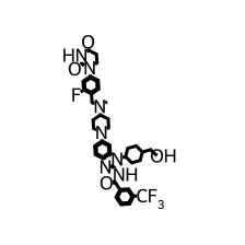 CN(Cc1ccc(N2CCC(=O)NC2=O)cc1F)C1CCN(c2ccc3nc(NC(=O)c4cccc(C(F)(F)F)c4)n(C4CCC(CO)CC4)c3c2)CC1